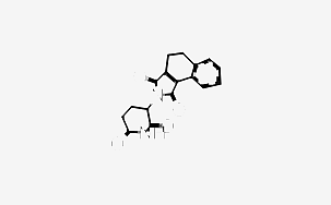 O=C1CCC(N2C(=O)C3=C(C2=O)c2ccccc2CC3)C(=O)N1